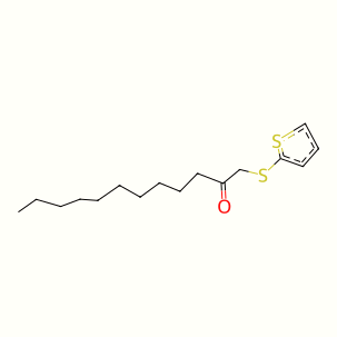 CCCCCCCCCCC(=O)CSc1cccs1